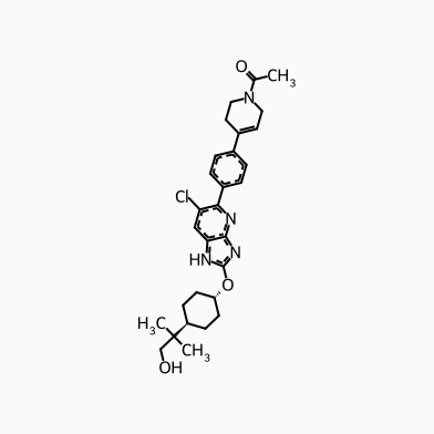 CC(=O)N1CC=C(c2ccc(-c3nc4nc(O[C@H]5CC[C@H](C(C)(C)CO)CC5)[nH]c4cc3Cl)cc2)CC1